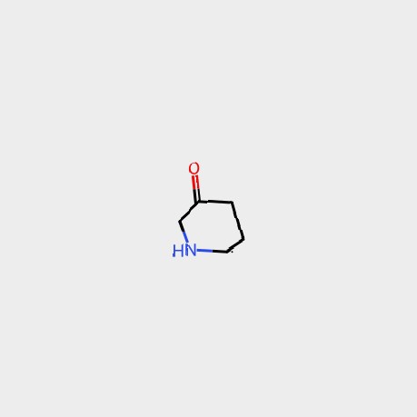 O=C1CC[CH]NC1